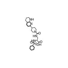 O=C(O)C(CNC(=O)N1CCC(c2ccc3c(n2)NCCC3)CC1)NS(=O)(=O)c1ccccc1